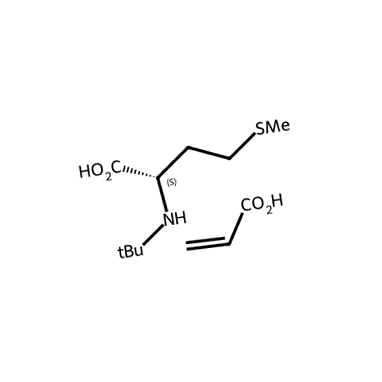 C=CC(=O)O.CSCC[C@H](NC(C)(C)C)C(=O)O